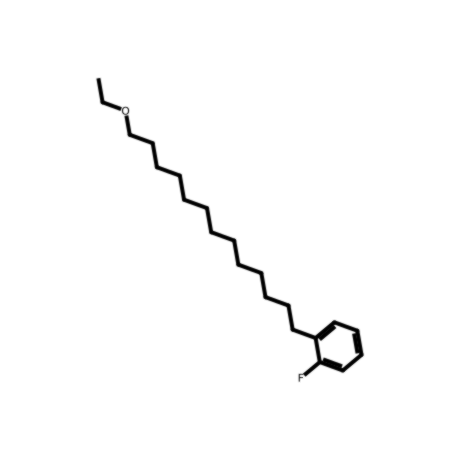 CCOCCCCCCCCCCCCCc1ccccc1F